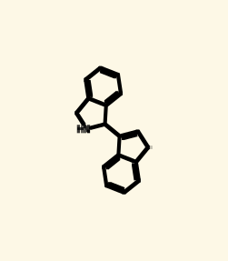 [CH]1C=C(C2NCc3ccccc32)c2ccccc21